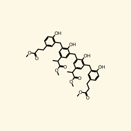 COC(=O)CCc1ccc(O)c(Cc2cc(C(C)C(=O)OC)cc(Cc3cc(C(C)C(=O)OC)cc(Cc4cc(CCC(=O)OC)ccc4O)c3O)c2O)c1